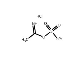 CCCS(=O)(=O)OC(C)=N.Cl